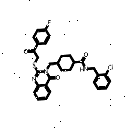 O=C(CSc1nc2ccccc2c(=O)n1CC1CCC(C(=O)NCc2ccccc2Cl)CC1)c1ccc(F)cc1